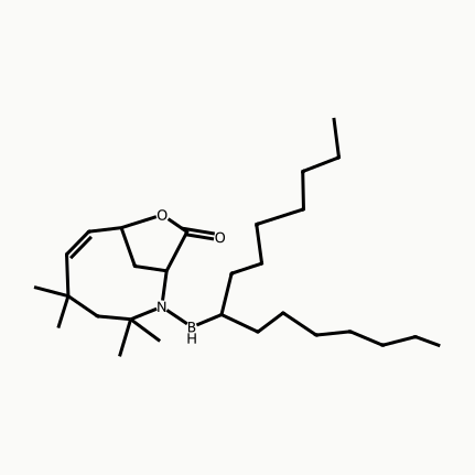 CCCCCCCC(BN1C2CC(C=CC(C)(C)CC1(C)C)OC2=O)CCCCCCC